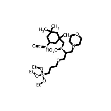 CCO[Si](CCCOCC(CN1CCOCC1)N(CC1(C)CC(N=C=O)CC(C)(C)C1)C(=O)O)(OCC)OCC